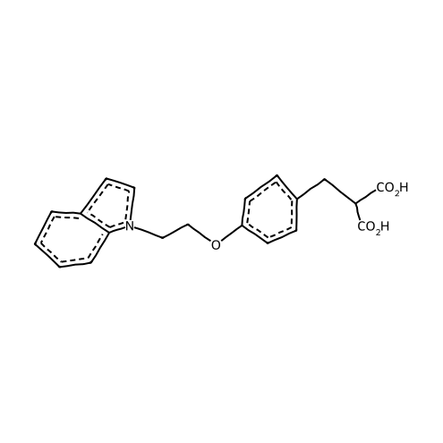 O=C(O)C(Cc1ccc(OCCn2ccc3ccccc32)cc1)C(=O)O